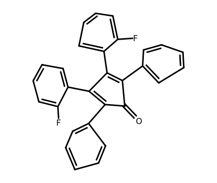 O=C1C(c2ccccc2)=C(c2ccccc2F)C(c2ccccc2F)=C1c1ccccc1